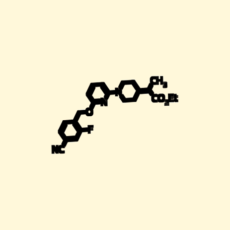 CCOC(=O)C(C)=C1CCN(c2cccc(OCc3ccc(C#N)cc3F)n2)CC1